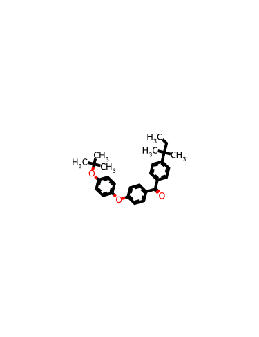 CCC(C)(C)c1ccc(C(=O)c2ccc(Oc3ccc(OC(C)(C)C)cc3)cc2)cc1